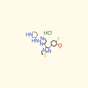 COc1cc(-c2nc3sccn3c2-c2ccnc(NC3CCCNC3)n2)ccc1F.Cl